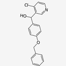 OC(c1ccc(OCc2ccccc2)cc1)c1cnccc1Cl